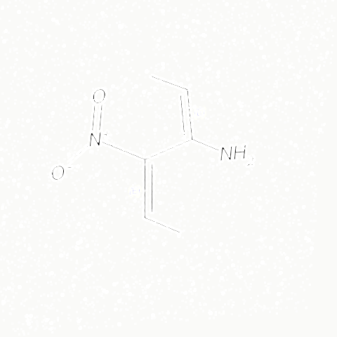 C/C=C(N)\C(=C/C)[N+](=O)[O-]